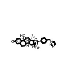 C[C@]12C=CC(=O)C=C1CC[C@@H]1[C@@H]2[C@@H](O)C[C@@]2(C)[C@H]1C[C@H]1O[C@H](c3ccc(Cn4ccnn4)cc3)O[C@]12C(=O)CO